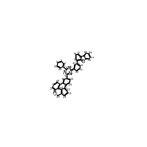 c1ccc(-c2nc(-c3ccc(-c4cccc5c4-c4ccccc4OC5)cc3)nc(-c3cccc(-c4cccc5c4oc4ccccc45)c3)n2)cc1